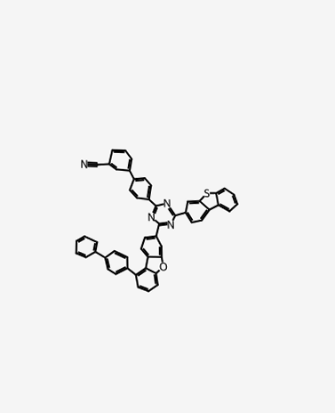 N#Cc1cccc(-c2ccc(-c3nc(-c4ccc5c(c4)oc4cccc(-c6ccc(-c7ccccc7)cc6)c45)nc(-c4ccc5c(c4)sc4ccccc45)n3)cc2)c1